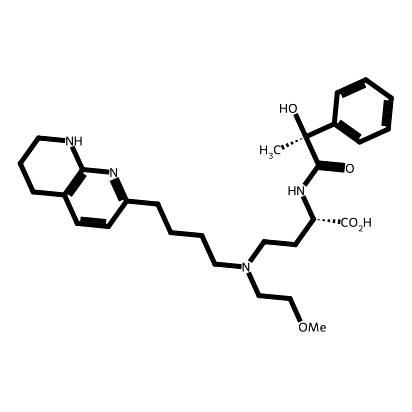 COCCN(CCCCc1ccc2c(n1)NCCC2)CC[C@H](NC(=O)[C@@](C)(O)c1ccccc1)C(=O)O